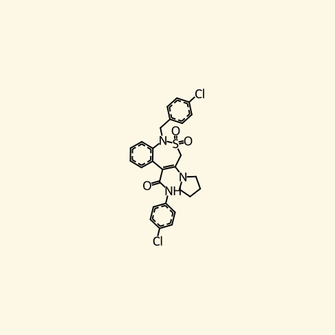 O=C(Nc1ccc(Cl)cc1)C1=C(N2CCCC2)CS(=O)(=O)N(Cc2ccc(Cl)cc2)c2ccccc21